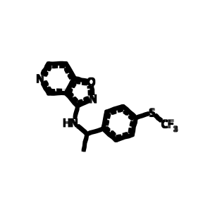 CC(Nc1noc2ccncc12)c1ccc(SC(F)(F)F)cc1